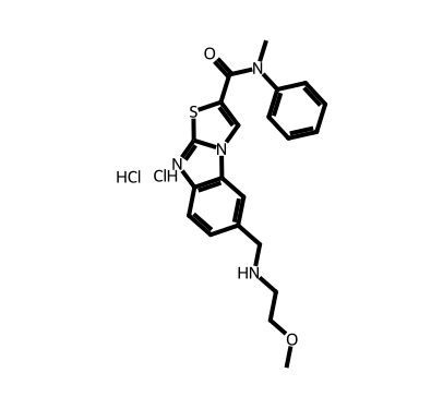 COCCNCc1ccc2nc3sc(C(=O)N(C)c4ccccc4)cn3c2c1.Cl.Cl